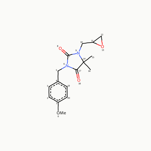 COc1ccc(CN2C(=O)N(CC3CO3)C(C)(C)C2=O)cc1